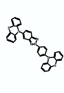 c1ccc2c(c1)Sc1ccccc1N2c1ccc(-n2nc3ccc(N4c5ccccc5Sc5ccccc54)cc3n2)cc1